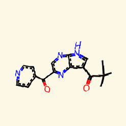 CC(C)(C)C(=O)c1c[nH]c2ncc(C(=O)c3ccncc3)nc12